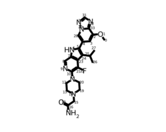 COc1cc(-c2[nH]c3cnc(N4CCN(CC(N)=O)CC4)c(F)c3c2C(C)C)cn2ncnc12